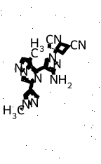 Cc1cnn2cc(-c3cnn(C)c3)nc(-c3cn([C@]4(CC#N)C[C@@H](C#N)C4)nc3N)c12